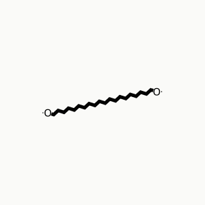 [O]CCCCCCCCCCCCCCCCCCCC[O]